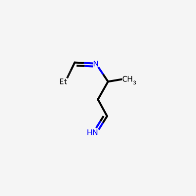 CC/C=N\C(C)CC=N